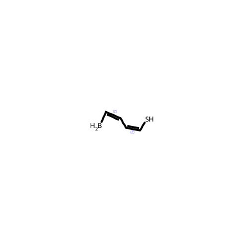 B/C=C\C=C/S